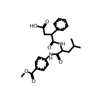 COC(=O)c1ccc(NC(=O)C(CC(C)C)NC(=O)C(CC(=O)O)c2ccccc2)cc1